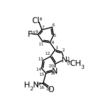 Cn1cc(-c2ccc(Cl)c(F)c2)c2ccc(C(N)=O)nc21